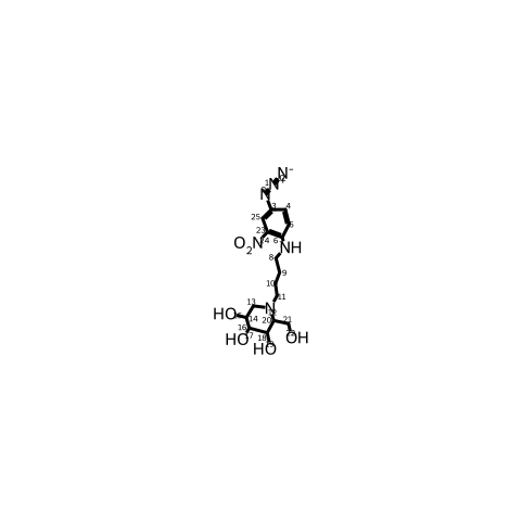 [N-]=[N+]=Nc1ccc(NCCCCN2CC(O)C(O)C(O)C2CO)c([N+](=O)[O-])c1